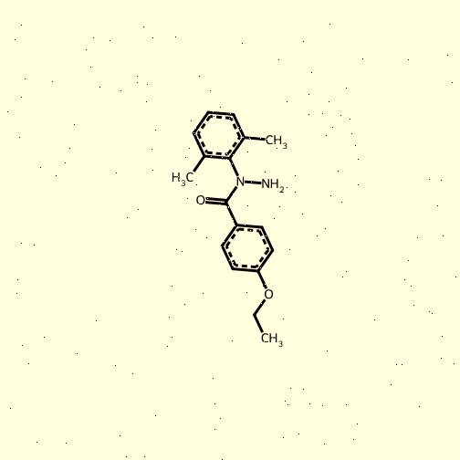 CCOc1ccc(C(=O)N(N)c2c(C)cccc2C)cc1